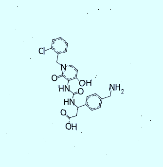 NCc1ccc(C(CC(=O)O)NC(=O)Nc2c(O)ccn(Cc3ccccc3Cl)c2=O)cc1